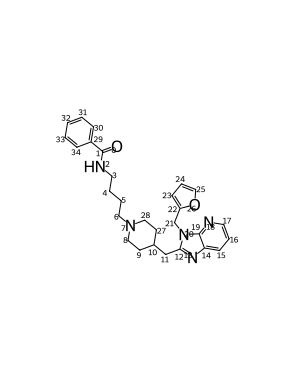 O=C(NCCCCN1CCC(Cc2nc3cccnc3n2Cc2ccco2)CC1)c1ccccc1